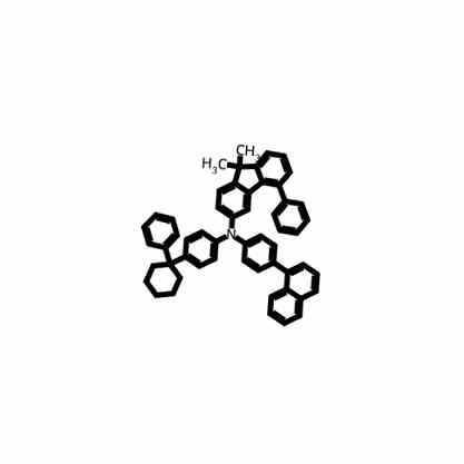 CC1(C)c2ccc(N(c3ccc(-c4cccc5ccccc45)cc3)c3ccc(C4(c5ccccc5)CCCCC4)cc3)cc2-c2c(-c3ccccc3)cccc21